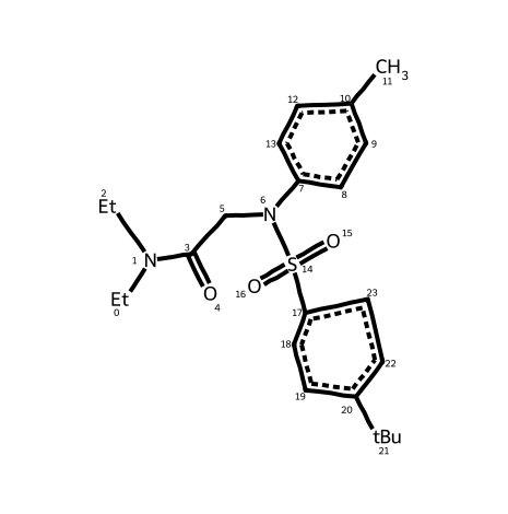 CCN(CC)C(=O)CN(c1ccc(C)cc1)S(=O)(=O)c1ccc(C(C)(C)C)cc1